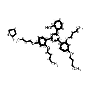 C1CCOC1.CCCCOc1ccc(-c2nc(-c3ccccc3O)nc(-c3ccc(OCCCC)cc3OCCCC)n2)c(OCCCC)c1